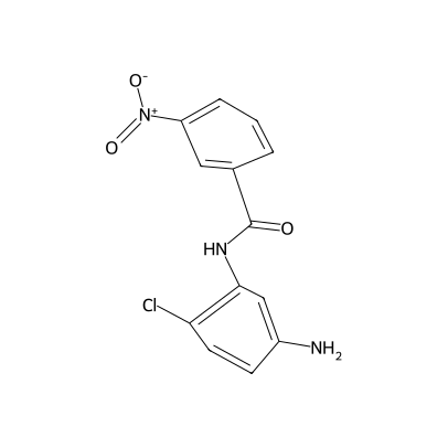 Nc1ccc(Cl)c(NC(=O)c2cccc([N+](=O)[O-])c2)c1